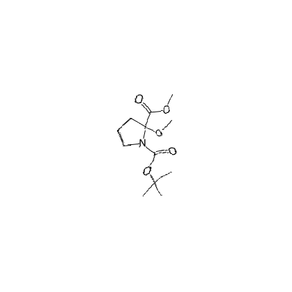 COC(=O)C1(OC)CCCN1C(=O)OC(C)(C)C